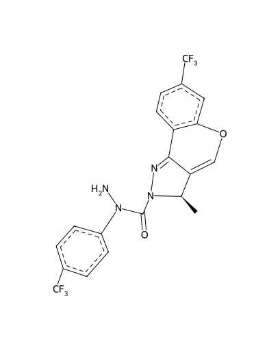 C[C@@H]1C2=COc3cc(C(F)(F)F)ccc3C2=NN1C(=O)N(N)c1ccc(C(F)(F)F)cc1